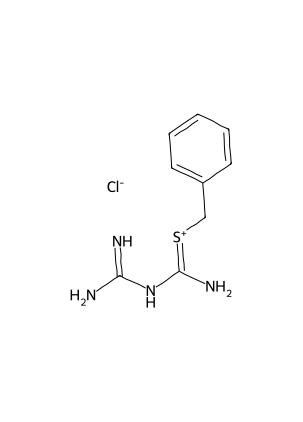 N=C(N)N/C(N)=[S+]/Cc1ccccc1.[Cl-]